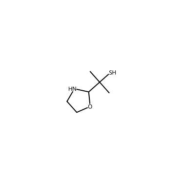 CC(C)(S)C1NCCO1